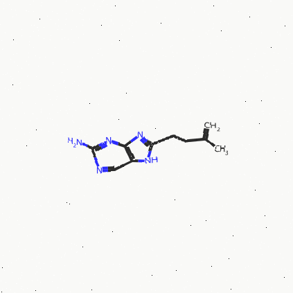 C=C(C)CCc1nc2nc(N)ncc2[nH]1